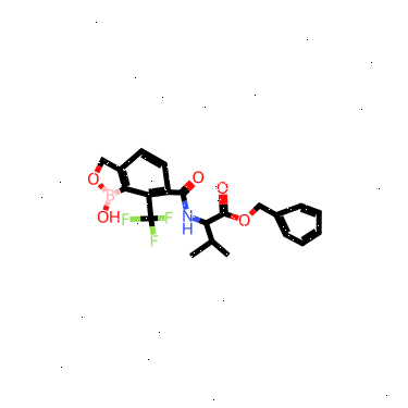 CC(C)C(NC(=O)c1ccc2c(c1C(F)(F)F)B(O)OC2)C(=O)OCc1ccccc1